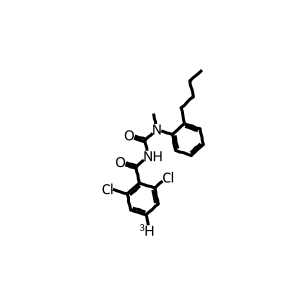 [3H]c1cc(Cl)c(C(=O)NC(=O)N(C)c2ccccc2CCCC)c(Cl)c1